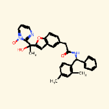 Cc1ccc([C@@H](NC(=O)Cc2ccc3oc(C(C)(O)c4nccc[n+]4[O-])cc3c2)c2ccccc2)c(C)c1